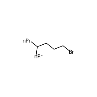 CCCC(CCC)CCCBr